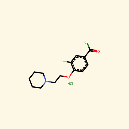 Cl.O=C(Cl)c1ccc(OCCN2CCCCC2)c(F)c1